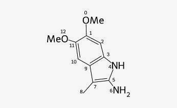 COc1cc2[nH]c(N)c(C)c2cc1OC